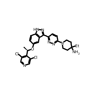 CCC1(N)CCN(c2ccc(-c3n[nH]c4ccc(O[C@H](C)c5c(Cl)cncc5Cl)cc34)nn2)CC1